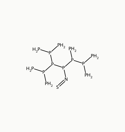 PP(P)P(P)P(N=S)P(P(P)P)P(P)P